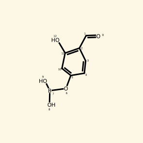 O=Cc1ccc(OB(O)O)cc1O